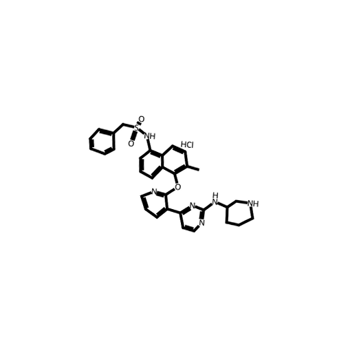 Cc1ccc2c(NS(=O)(=O)Cc3ccccc3)cccc2c1Oc1ncccc1-c1ccnc(NC2CCCNC2)n1.Cl